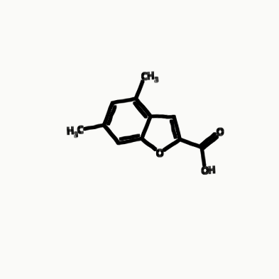 Cc1cc(C)c2cc(C(=O)O)oc2c1